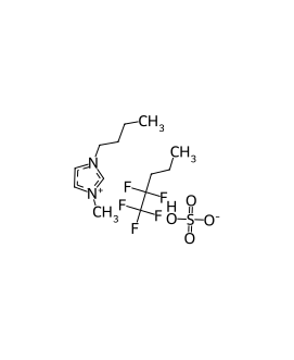 CCCC(F)(F)C(F)(F)F.CCCCn1cc[n+](C)c1.O=S(=O)([O-])O